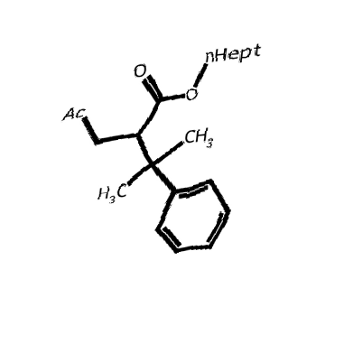 CCCCCCCOC(=O)C(CC(C)=O)C(C)(C)c1ccccc1